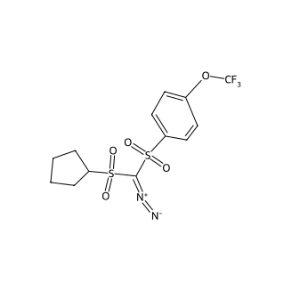 [N-]=[N+]=C(S(=O)(=O)c1ccc(OC(F)(F)F)cc1)S(=O)(=O)C1CCCC1